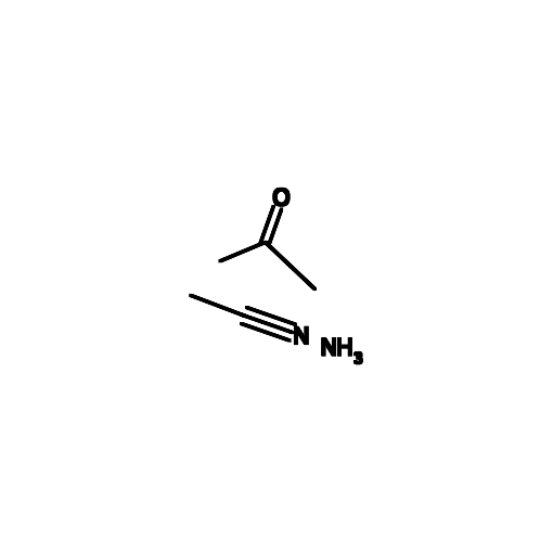 CC#N.CC(C)=O.N